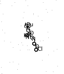 CC(C)(C)OC(=O)N1CCC(C(=O)NC2CCN(Cc3cccc(Oc4ccccc4Cl)c3)CC2)(c2cccnc2)CC1